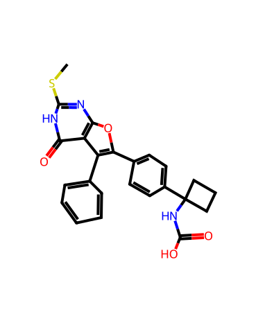 CSc1nc2oc(-c3ccc(C4(NC(=O)O)CCC4)cc3)c(-c3ccccc3)c2c(=O)[nH]1